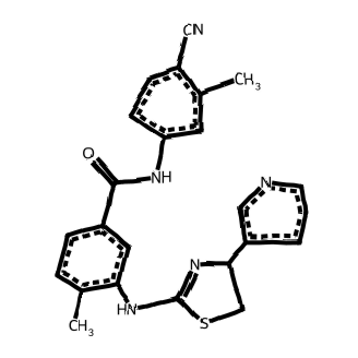 Cc1cc(NC(=O)c2ccc(C)c(NC3=NC(c4cccnc4)CS3)c2)ccc1C#N